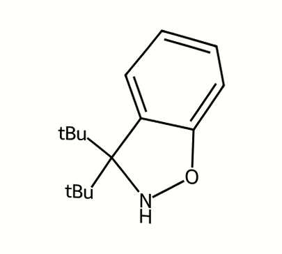 CC(C)(C)C1(C(C)(C)C)NOc2ccccc21